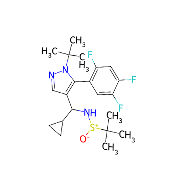 CC(C)(C)n1ncc(C(N[S+]([O-])C(C)(C)C)C2CC2)c1-c1cc(F)c(F)cc1F